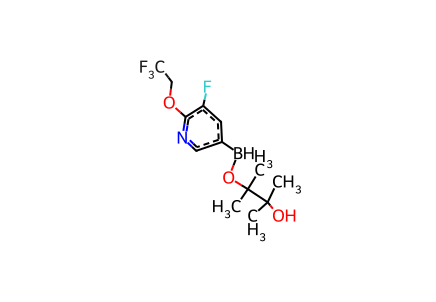 CC(C)(O)C(C)(C)OBc1cnc(OCC(F)(F)F)c(F)c1